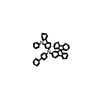 C1=CCC2C(=C1)C1(c3ccccc3-c3ccc(N(c4ccc(-c5ccccc5)cc4)c4ccc5c6ccccc6n(-c6ccccc6)c5c4)cc31)c1ccccc12